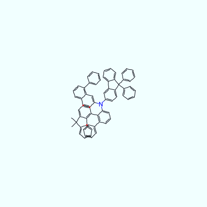 CC1(C)c2ccccc2-c2c(-c3c(-c4ccccc4)cccc3N(c3ccc4c(c3)-c3ccccc3C4(c3ccccc3)c3ccccc3)c3ccc4cccc(-c5ccccc5)c4c3)cccc21